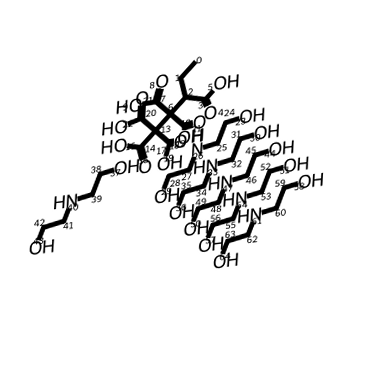 CCC(C(=O)O)C(C(=O)O)(C(=O)O)C(C(=O)O)(C(=O)O)C(=O)O.OCCNCCO.OCCNCCO.OCCNCCO.OCCNCCO.OCCNCCO.OCCNCCO